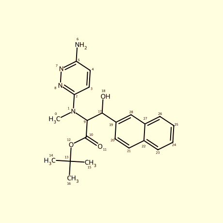 CN(c1ccc(N)nn1)C(C(=O)OC(C)(C)C)C(O)c1ccc2ccccc2c1